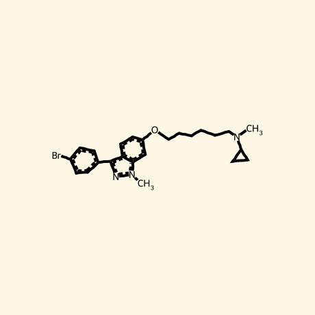 CN(CCCCCCOc1ccc2c(-c3ccc(Br)cc3)nn(C)c2c1)C1CC1